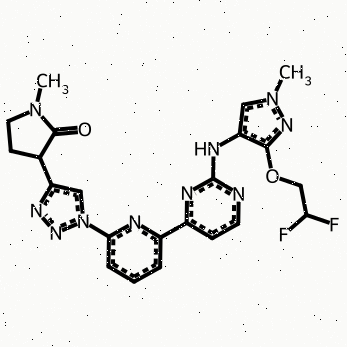 CN1CCC(c2cn(-c3cccc(-c4ccnc(Nc5cn(C)nc5OCC(F)F)n4)n3)nn2)C1=O